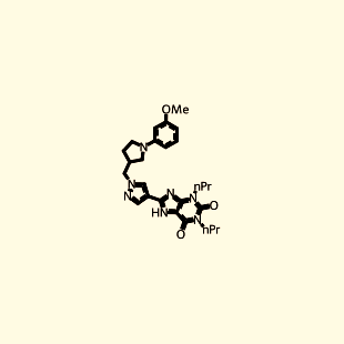 CCCn1c(=O)c2[nH]c(-c3cnn(CC4CCN(c5cccc(OC)c5)C4)c3)nc2n(CCC)c1=O